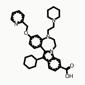 O=C(O)c1ccc2c(C3CCCCC3)c3n(c2c1)CCN(CCN1CCCCC1)c1cc(OCc2ccccn2)ccc1-3